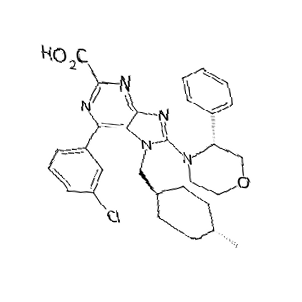 C[C@H]1CC[C@H](Cn2c(N3CCOC[C@H]3c3ccccc3)nc3nc(C(=O)O)nc(-c4cccc(Cl)c4)c32)CC1